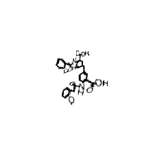 COc1ccccc1CC(=O)Nc1ccc(Cc2ccc(NC(=O)Cc3ccccc3OC)c(C(=O)O)c2)cc1C(=O)O